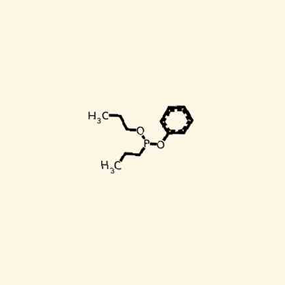 CCCOP(CCC)Oc1ccccc1